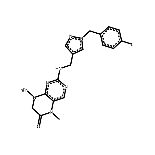 CCCN1CC(=O)N(C)c2cnc(NCc3cnn(Cc4ccc(Cl)cc4)c3)nc21